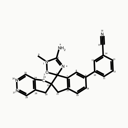 CN1OC2(N=C1N)c1cc(-c3cccc(C#N)c3)ccc1CC21Cc2cnncc2C1